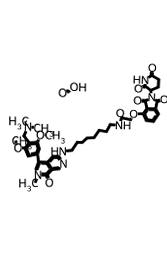 COc1cc(-c2cn(C)c(=O)c3cnc(NCCCCCCCCNC(=O)COc4cccc5c4C(=O)N(C4CCC(=O)NC4=O)C5=O)cc23)cc(OC)c1CN(C)C.O=CO